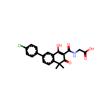 CC1(C)C(=O)C(C(=O)NCC(=O)O)=C(O)c2cc(-c3ccc(Cl)cc3)ccc21